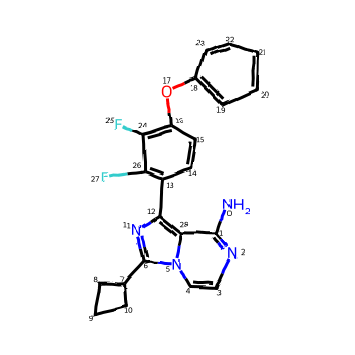 Nc1nccn2c(C3CCC3)nc(-c3ccc(Oc4ccccc4)c(F)c3F)c12